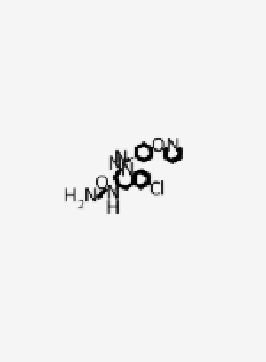 NCC(=O)N[C@H]1Cc2cc(Cl)ccc2-n2c(nnc2[C@H]2CC[C@H](Oc3ccccn3)CC2)C1